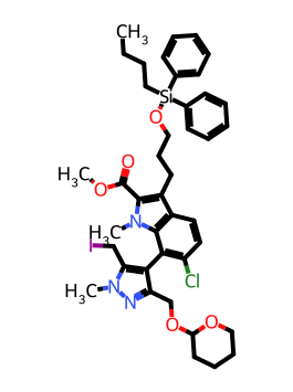 CCCC[Si](OCCCc1c(C(=O)OC)n(C)c2c(-c3c(COC4CCCCO4)nn(C)c3CI)c(Cl)ccc12)(c1ccccc1)c1ccccc1